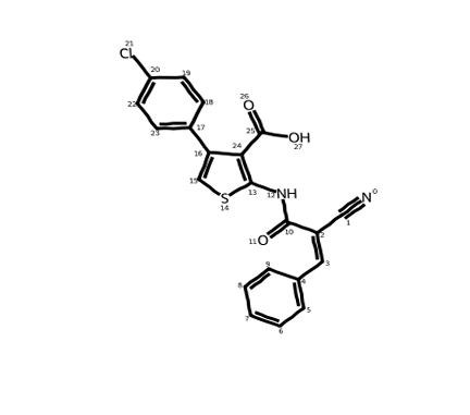 N#CC(=Cc1ccccc1)C(=O)Nc1scc(-c2ccc(Cl)cc2)c1C(=O)O